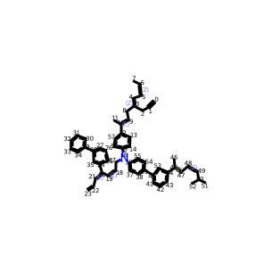 C#CC/C(=C\C=C/C)C/C=C(\C)c1ccc(N(C/C=C\C(=C/C=C)c2cccc(-c3ccccc3)c2)c2ccc(-c3cccc(/C(C)=C/C=C\C(C)C)c3)cc2)cc1